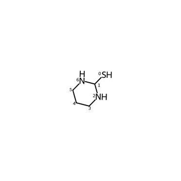 SC1NCCCN1